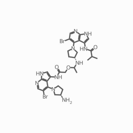 CC(N[C@@H]1CCN(c2c(Br)cnc3[nH]cc(NC(=O)C(C)C)c23)C1)OCC(=O)Nc1c[nH]c2ncc(Br)c(N3CC[C@@H](N)C3)c12